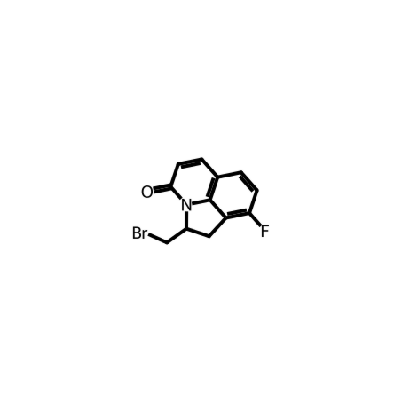 O=c1ccc2ccc(F)c3c2n1C(CBr)C3